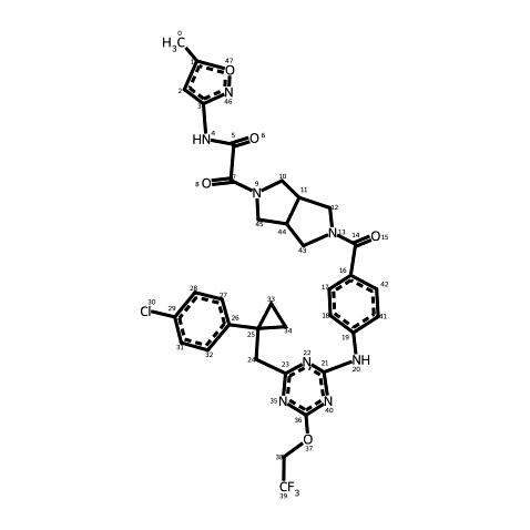 Cc1cc(NC(=O)C(=O)N2CC3CN(C(=O)c4ccc(Nc5nc(CC6(c7ccc(Cl)cc7)CC6)nc(OCC(F)(F)F)n5)cc4)CC3C2)no1